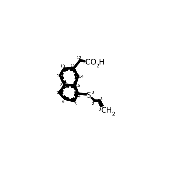 C=CCSc1cccc2ccc(CC(=O)O)cc12